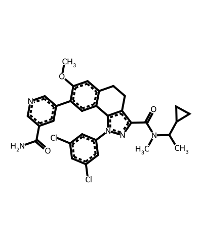 COc1cc2c(cc1-c1cncc(C(N)=O)c1)-c1c(c(C(=O)N(C)C(C)C3CC3)nn1-c1cc(Cl)cc(Cl)c1)CC2